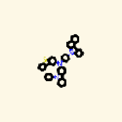 C1=C(N(c2ccc3sc4ccccc4c3c2)c2ccc3c4ccccc4n(-c4ccccc4)c3c2)CCC(n2c3ccccc3c3c4ccccc4ccc32)=C1